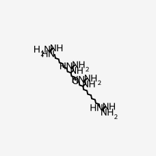 N=C(N)NCCCCCCCCC(CCOCCC(CCCCCCCCNC(=N)N)NC(=N)N)NC(=N)N